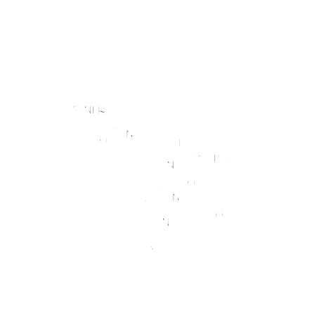 C=CCOCc1ccc(Br)nc1NC(=O)[C@@H]1C[C@@]2(CNC(=O)[C@H](CC=C)NC(C)=O)C[C@H]2N1C(=O)OC(C)(C)C